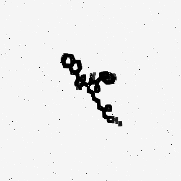 CCC(=O)CCCCC[C@H](NC(=O)C12CCN(CC1)CC2)c1ncc(-c2ccc3ccccc3c2)o1